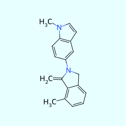 C=C1c2c(C)cccc2CN1c1ccc2c(ccn2C)c1